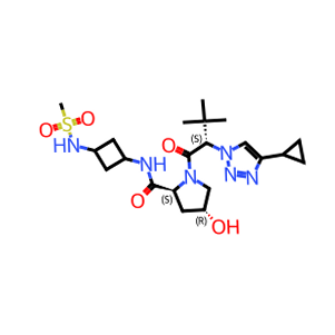 CC(C)(C)[C@@H](C(=O)N1C[C@H](O)C[C@H]1C(=O)NC1CC(NS(C)(=O)=O)C1)n1cc(C2CC2)nn1